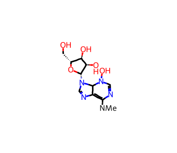 CNC1=C2N=CN([C@@H]3O[C@H](CO)[C@@H](O)[C@H]3O)C2N(O)C=N1